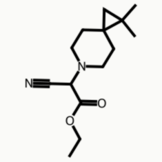 CCOC(=O)C(C#N)N1CCC2(CC1)CC2(C)C